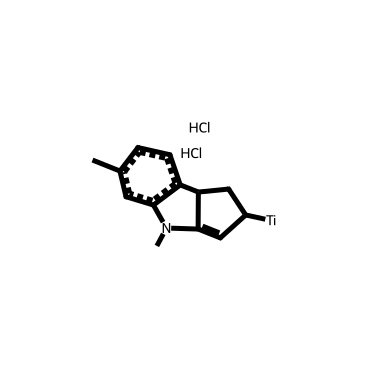 Cc1ccc2c(c1)N(C)C1=C[CH]([Ti])CC12.Cl.Cl